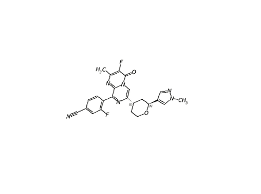 Cc1nc2c(-c3ccc(C#N)cc3F)nc([C@H]3CCO[C@H](c4cnn(C)c4)C3)cn2c(=O)c1F